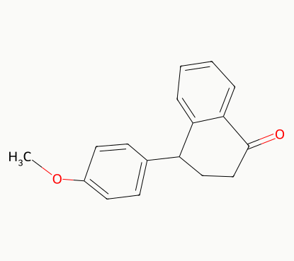 COc1ccc(C2CCC(=O)c3ccccc32)cc1